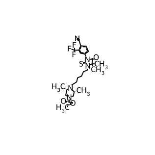 C[C@@H]1CN(S(C)(=O)=O)C[C@H](C)N1CCCCCCN1C(=S)N(c2ccc(C#N)c(C(F)(F)F)c2)C(=O)C1(C)C